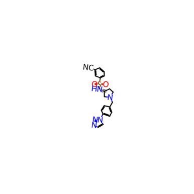 N#Cc1cccc(S(=O)(=O)N[C@@H]2CCN(Cc3ccc(-n4ccnn4)cc3)C2)c1